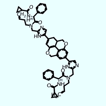 C=CCCN(Cc1ncc(C2=CC3=C4c5c(cc(-c6cnc(CN(CCC=C)C(=O)[C@H](NC(=O)C7CC7)c7ccccc7)[nH]6)cc5OCC4C2)CO3)[nH]1)C(=O)[C@H](NC(=O)C1CC1)c1ccccc1